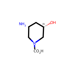 N.O=C(O)N1CCC[C@H](O)C1